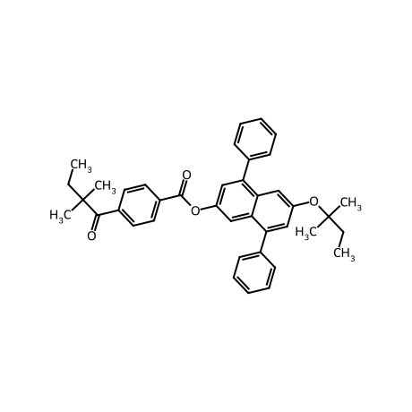 CCC(C)(C)Oc1cc(-c2ccccc2)c2cc(OC(=O)c3ccc(C(=O)C(C)(C)CC)cc3)cc(-c3ccccc3)c2c1